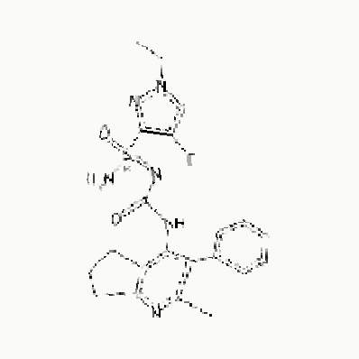 CCn1cc(F)c([S@](N)(=O)=NC(=O)Nc2c3c(nc(C)c2-c2ccccc2)CCC3)n1